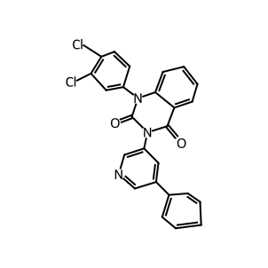 O=c1c2ccccc2n(-c2ccc(Cl)c(Cl)c2)c(=O)n1-c1cncc(-c2ccccc2)c1